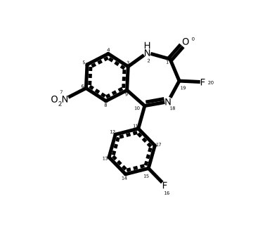 O=C1Nc2ccc([N+](=O)[O-])cc2C(c2cccc(F)c2)=NC1F